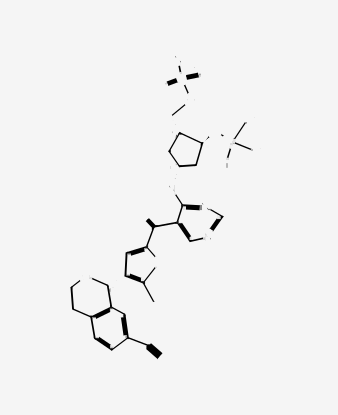 C#Cc1ccc2c(c1)[C@@H](c1cc(C(=O)c3cncnc3N[C@@H]3C[C@H](COS(N)(=O)=O)[C@@H](O[Si](C(C)C)(C(C)C)C(C)C)C3)sc1C)OCC2